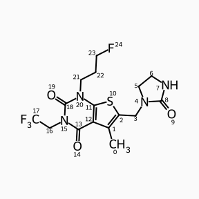 Cc1c(CN2CCNC2=O)sc2c1c(=O)n(CC(F)(F)F)c(=O)n2CCCF